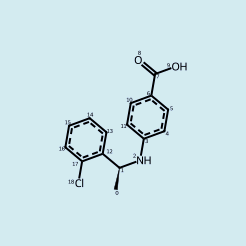 C[C@H](Nc1ccc(C(=O)O)cc1)c1ccccc1Cl